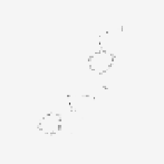 CCc1ccc(C(=O)N2CCN(c3ccccc3F)CC2)cc1